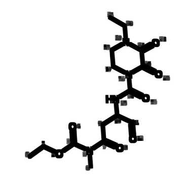 CCOC(=O)N(C)C(=O)CC([C]=O)NC(=O)N1CCN(CC)C(=O)C1=O